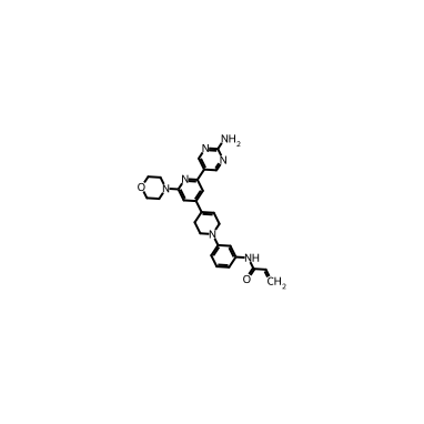 C=CC(=O)Nc1cccc(N2CC=C(c3cc(-c4cnc(N)nc4)nc(N4CCOCC4)c3)CC2)c1